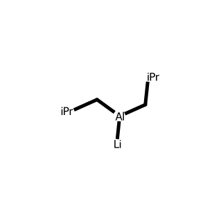 [Li][Al]([CH2]C(C)C)[CH2]C(C)C